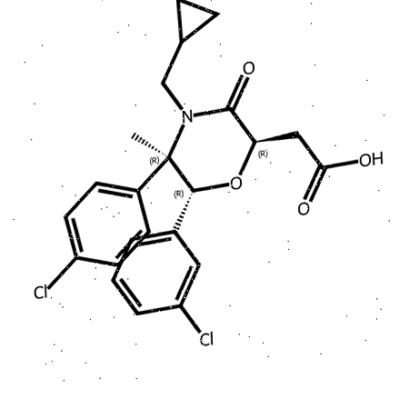 C[C@@]1(c2ccc(Cl)cc2)[C@@H](c2cccc(Cl)c2)O[C@H](CC(=O)O)C(=O)N1CC1CC1